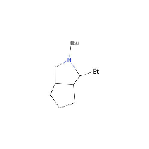 CCC1C2CCCC2CN1C(C)(C)C